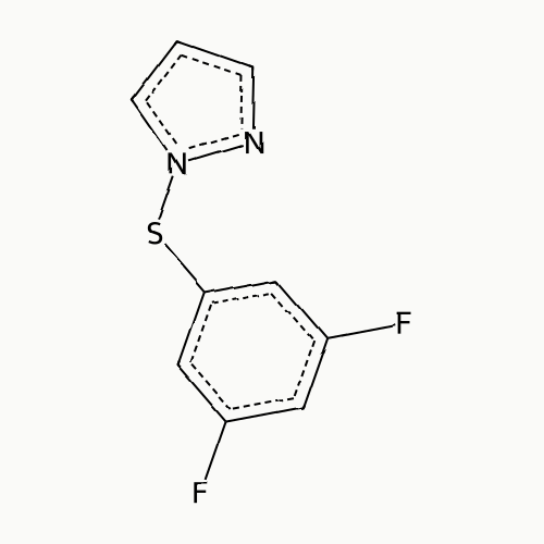 Fc1cc(F)cc(Sn2cccn2)c1